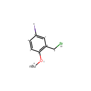 CCCCOc1ccc(I)cc1CBr